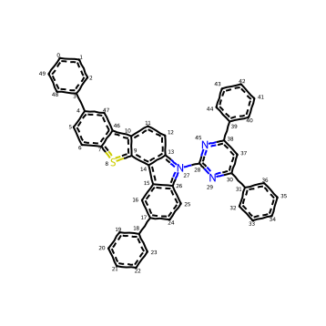 c1ccc(-c2ccc3sc4c(ccc5c4c4cc(-c6ccccc6)ccc4n5-c4nc(-c5ccccc5)cc(-c5ccccc5)n4)c3c2)cc1